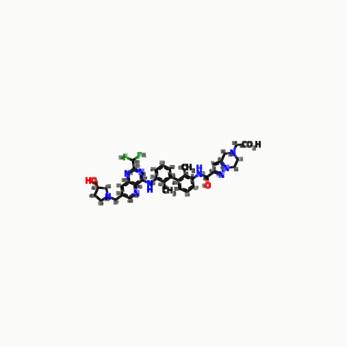 Cc1c(NC(=O)c2cc3n(n2)CCN(CC(=O)O)C3)cccc1-c1cccc(Nc2nc(C(F)F)nc3cc(CN4CC[C@@H](O)C4)cnc23)c1C